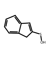 OSC1=Cc2ccccc2C1